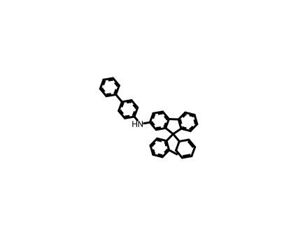 Cc1ccccc1C1(C2C=CC=CC2)c2ccccc2-c2ccc(Nc3ccc(-c4ccccc4)cc3)cc21